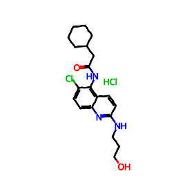 Cl.O=C(CC1CCCCC1)Nc1c(Cl)ccc2nc(NCCCO)ccc12